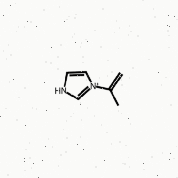 C=C(C)[n+]1cc[nH]c1